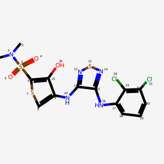 CN(C)S(=O)(=O)c1scc(Nc2nsnc2Nc2cccc(Cl)c2Cl)c1O